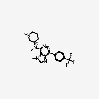 CN1CCC[C@@H](N(C)c2nnc(-c3ccc(C(F)(F)F)cc3)c3ncn(C)c23)C1